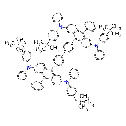 CC(C)(C)Cc1ccc(N(c2ccccc2)c2ccc3c(-c4ccc(-c5ccc(-c6c7ccc(N(c8ccccc8)c8ccc(C(C)(C)C)cc8)cc7c(-c7ccccc7)c7ccc(N(c8ccccc8)c8ccc(C(C)(C)C)cc8)cc67)cc5)cc4)c4cc(N(c5ccccc5)c5ccc(CC(C)(C)C)cc5)ccc4c(-c4ccccc4)c3c2)cc1